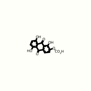 O=C(O)Oc1ccc2c(c1O)C(=O)c1c(O)ccc(O)c1C2=O